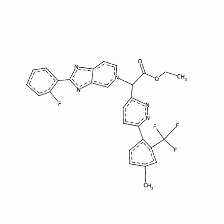 CCOC(=O)C(c1ccc(-c2ccc(C)cc2C(F)(F)F)nn1)n1ccc2nc(-c3ccccc3F)nc-2c1